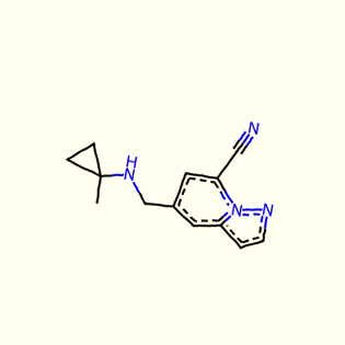 CC1(NCc2cc(C#N)n3nccc3c2)CC1